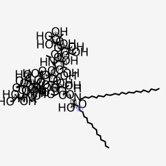 CCCCCCCCCCCCC/C=C/[C@@H](O)[C@H](CO[C@@H]1OC(CO)[C@@H](O[C@@H]2OC(CO)[C@H](O[C@@H]3OC(CO)[C@H](O)[C@H](O[C@@H]4OC(CO)[C@H](O)[C@H](O)C4O[C@H]4OC(C)[C@@H](O)C(O)[C@@H]4O)C3NC(C)=O)[C@H](O[C@]3(C(=O)O)CC(O)[C@@H](NC(C)=O)C([C@H](O)[C@@H](CO)O[C@]4(C(=O)O)CC(O)[C@@H](NC(C)=O)C([C@H](O)[C@H](O)CO)O4)O3)C2O)[C@H](O)C1O)NC(=O)CCCCCCCCCCCCCCCCCCCCC